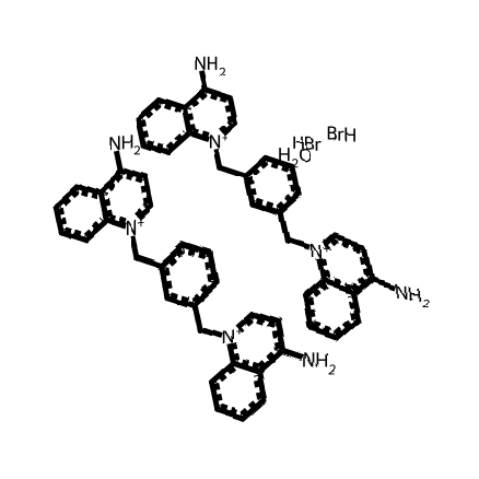 Br.Br.Nc1cc[n+](Cc2cccc(C[n+]3ccc(N)c4ccccc43)c2)c2ccccc12.Nc1cc[n+](Cc2cccc(C[n+]3ccc(N)c4ccccc43)c2)c2ccccc12.O